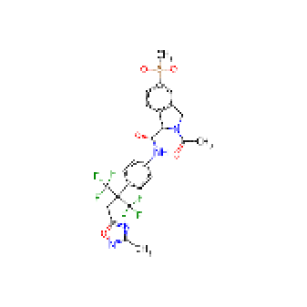 CC(=O)N1Cc2cc(S(C)(=O)=O)ccc2C1C(=O)Nc1ccc(C(Cc2nc(C)no2)(C(F)(F)F)C(F)(F)F)cc1